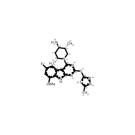 CNc1cc(F)cc2c1[nH]c1nc(Sc3nnc(C)s3)nc(N3C[C@@H](C)[C@H](N)C[C@H]3C)c12